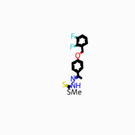 CSC(=S)N/N=C(\C)c1ccc(OCc2cccc(F)c2F)cc1